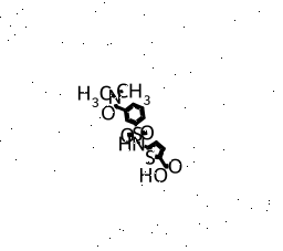 CN(C)C(=O)c1cccc(S(=O)(=O)Nc2ccc(C(=O)O)s2)c1